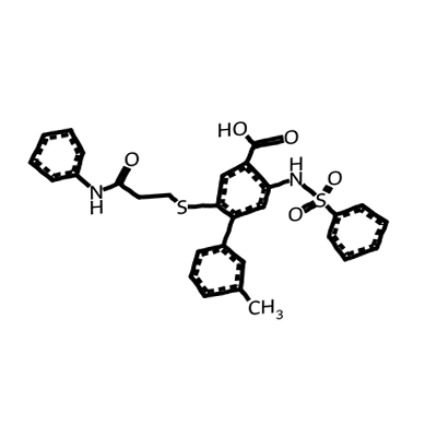 Cc1cccc(-c2cc(NS(=O)(=O)c3ccccc3)c(C(=O)O)cc2SCCC(=O)Nc2ccccc2)c1